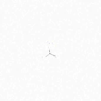 CCCC(CC)CC.N